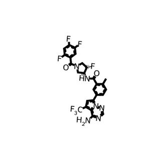 Cc1ccc(-c2cc(C(F)(F)F)c3c(N)ncnn23)cc1C(=O)N[C@@H]1CN(C(=O)c2cc(F)c(F)cc2F)C[C@@H]1F